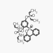 C=CNP(=O)(NC=C)Oc1ccc(OP(=O)(C=C)C=C)cc1P1(=O)Oc2ccccc2-c2ccccc21